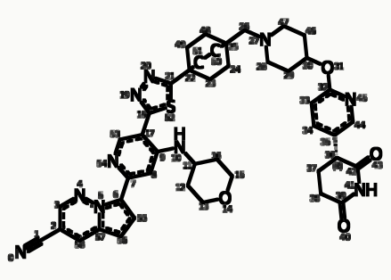 N#Cc1cnn2c(-c3cc(NC4CCOCC4)c(-c4nnc(C56CCC(CN7CCC(Oc8ccc([C@H]9CCC(=O)NC9=O)cn8)CC7)(CC5)CC6)s4)cn3)ccc2c1